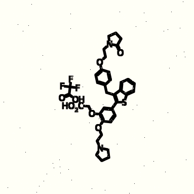 O=C(O)C(F)(F)F.O=C(O)COc1cc(-c2sc3ccccc3c2Cc2ccc(OCCN3CCCC3=O)cc2)ccc1OCCN1CCCC1